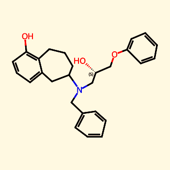 Oc1cccc2c1CCCC(N(Cc1ccccc1)C[C@H](O)COc1ccccc1)C2